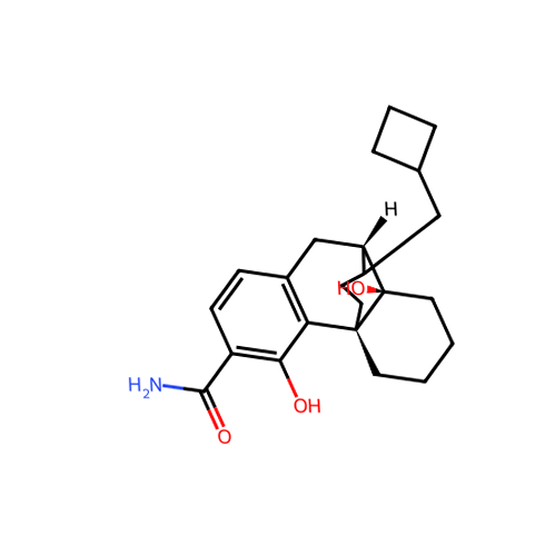 NC(=O)c1ccc2c(c1O)[C@@]13CCCC[C@@]1(O)[C@@H](C2)C(CC1CCC1)CC3